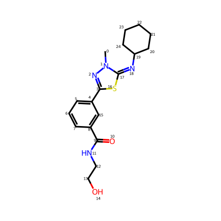 Cn1nc(-c2cccc(C(=O)NCCO)c2)s/c1=N/C1CCCCC1